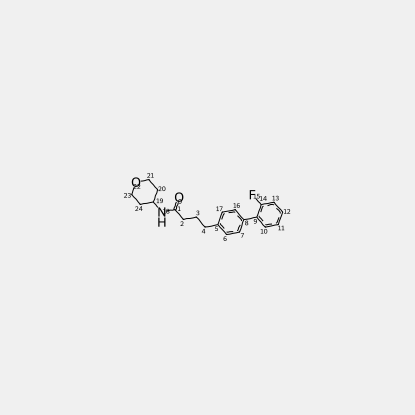 O=C(CCCc1ccc(-c2ccccc2F)cc1)NC1CCOCC1